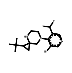 CC(C)(C)C1CC12CN(c1c(Br)cncc1C(F)F)CCN2